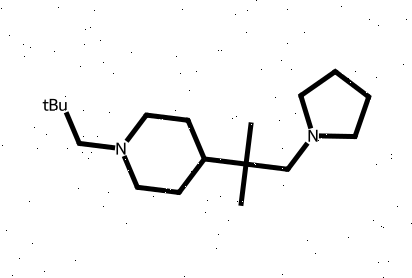 CC(C)(C)CN1CCC(C(C)(C)CN2CCCC2)CC1